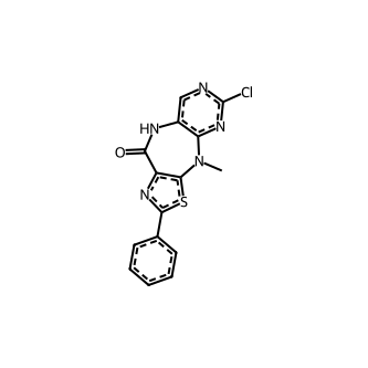 CN1c2nc(Cl)ncc2NC(=O)c2nc(-c3ccccc3)sc21